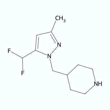 Cc1cc(C(F)F)n(CC2CCNCC2)n1